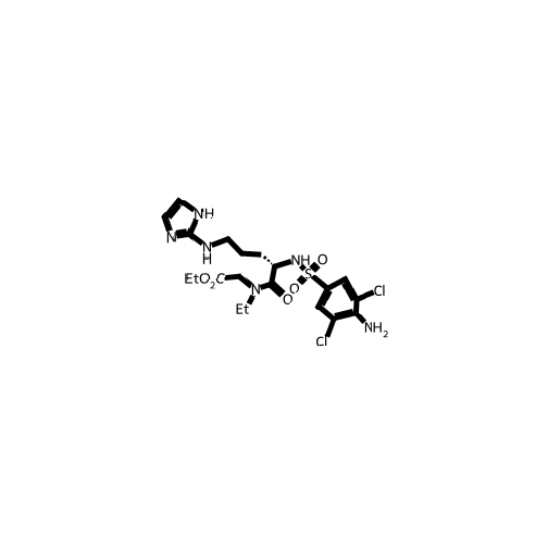 CCOC(=O)CN(CC)C(=O)[C@H](CCCNc1ncc[nH]1)NS(=O)(=O)c1cc(Cl)c(N)c(Cl)c1